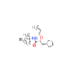 C=CCOC(CC1CCCC1)C(=O)NC(C)(C)C